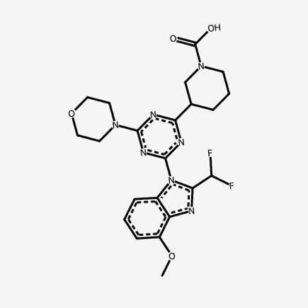 COc1cccc2c1nc(C(F)F)n2-c1nc(C2CCCN(C(=O)O)C2)nc(N2CCOCC2)n1